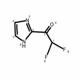 O=C(c1ncc[nH]1)C(F)F